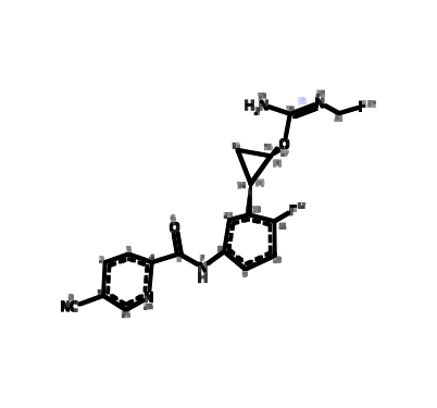 N#Cc1ccc(C(=O)Nc2ccc(F)c([C@H]3C[C@H]3O/C(N)=N\CF)c2)nc1